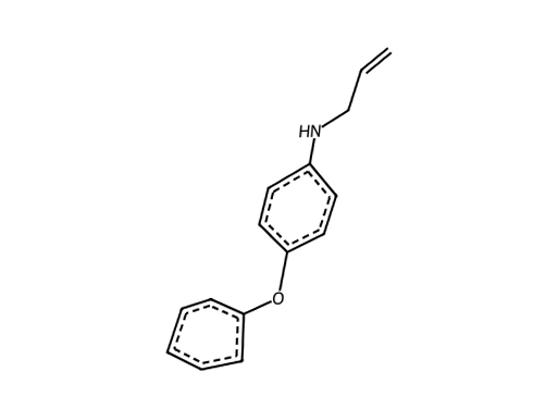 C=CCNc1ccc(Oc2ccccc2)cc1